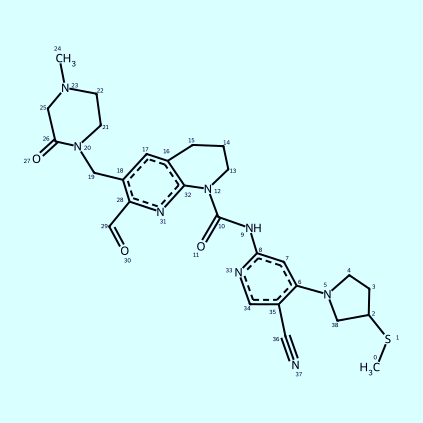 CSC1CCN(c2cc(NC(=O)N3CCCc4cc(CN5CCN(C)CC5=O)c(C=O)nc43)ncc2C#N)C1